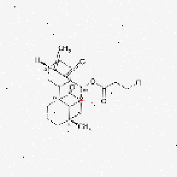 C=C1C(=O)C23CC[C@H]1CC2[C@@]12CCC[C@@](C)(COC1=O)C2C[C@H]3OC(=O)CCCl